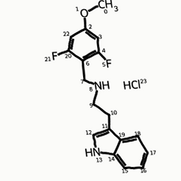 COc1cc(F)c(CNCCc2c[nH]c3ccccc23)c(F)c1.Cl